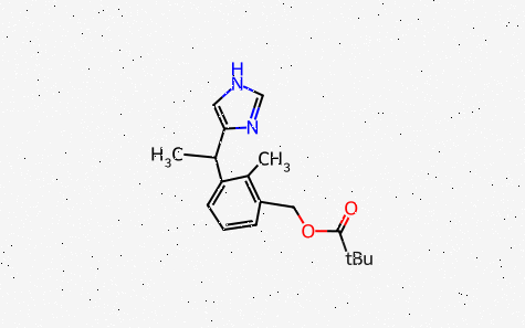 Cc1c(COC(=O)C(C)(C)C)cccc1C(C)c1c[nH]cn1